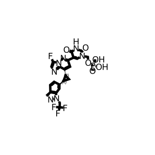 O=c1[nH]c(=O)n(COP(=O)(O)O)cc1-c1cc([C@@H]2C[C@H]2c2ccc3cnn(CC(F)(F)F)c3c2)c2ncc(F)n2n1